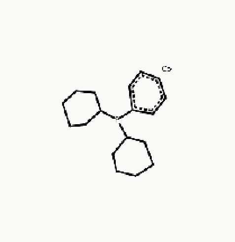 [Co].c1ccc(P(C2CCCCC2)C2CCCCC2)cc1